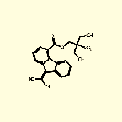 N#CC(C#N)=C1c2ccccc2-c2c(C(=O)OCC(CO)(CO)[N+](=O)[O-])cccc21